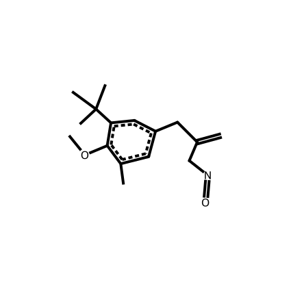 C=C(CN=O)Cc1cc(C)c(OC)c(C(C)(C)C)c1